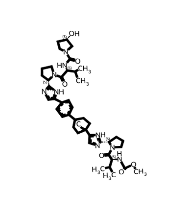 COC(=O)N[C@H](C(=O)N1CCC[C@H]1c1ncc(C23CCC(c4ccc(-c5cnc([C@@H]6CCCN6C(=O)[C@@H](NC(=O)N6CC[C@H](O)C6)C(C)C)[nH]5)cc4)(CC2)CC3)[nH]1)C(C)C